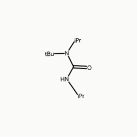 CC(C)NC(=O)N(C(C)C)C(C)(C)C